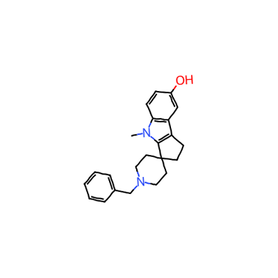 Cn1c2c(c3cc(O)ccc31)CCC21CCN(Cc2ccccc2)CC1